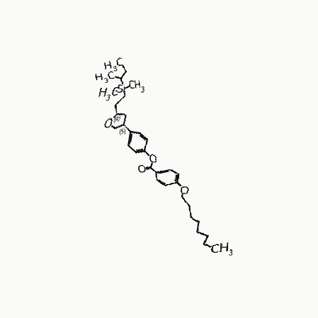 CCCCCCCCOc1ccc(C(=O)Oc2ccc([C@H]3CO[C@@H](CC[Si](C)(C)C(C)CC)C3)cc2)cc1